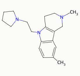 Cc1ccc2c(c1)c1c(n2CCN2CCCC2)CCN(C)C1